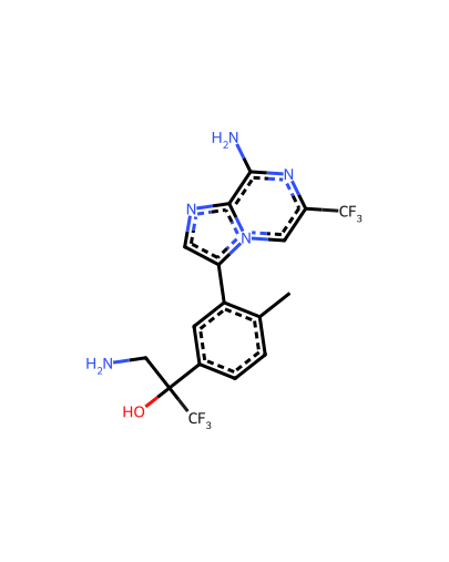 Cc1ccc(C(O)(CN)C(F)(F)F)cc1-c1cnc2c(N)nc(C(F)(F)F)cn12